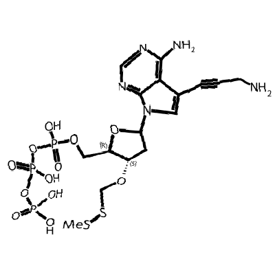 CSSCO[C@H]1CC(n2cc(C#CCN)c3c(N)ncnc32)O[C@@H]1COP(=O)(O)OP(=O)(O)OP(=O)(O)O